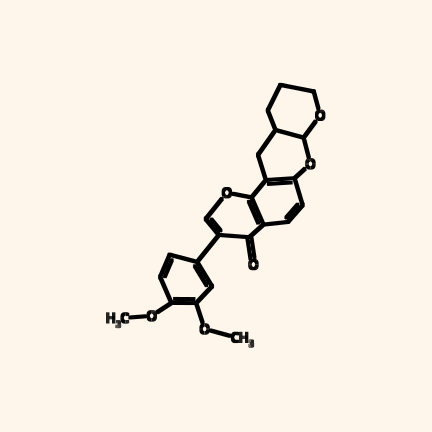 COc1ccc(-c2coc3c4c(ccc3c2=O)OC2OCCCC2C4)cc1OC